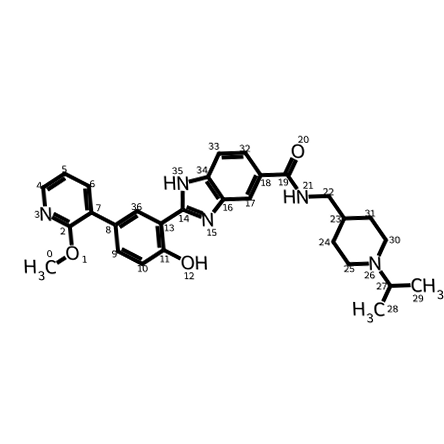 COc1ncccc1-c1ccc(O)c(-c2nc3cc(C(=O)NCC4CCN(C(C)C)CC4)ccc3[nH]2)c1